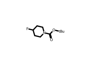 CC(C)(C)OC(=O)N1CC[C](F)CC1